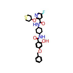 O=C(NC1CCC(NC(=O)c2cc(F)cnc2OC2CCSCC2)CC1)c1ccc(OCc2ccccc2)cc1O